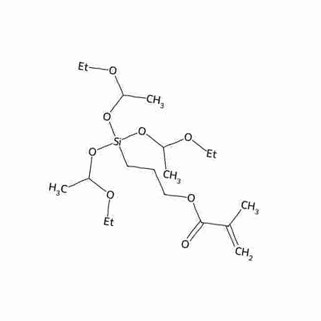 C=C(C)C(=O)OCCC[Si](OC(C)OCC)(OC(C)OCC)OC(C)OCC